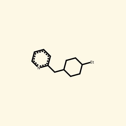 CCC1CCC(Cc2ccccn2)CC1